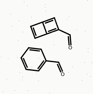 O=Cc1cc2ccc1-2.O=Cc1ccccc1